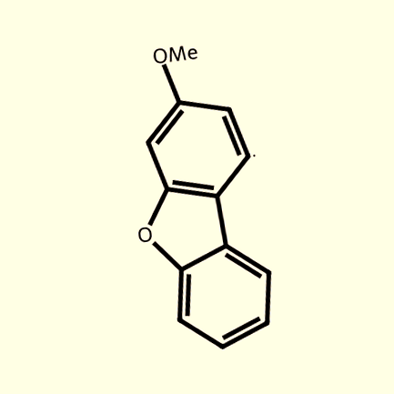 COc1c[c]c2c(c1)oc1ccccc12